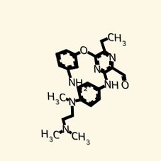 CCc1nc(C=O)c(Nc2ccc(N(C)CCN(C)C)cc2)nc1Oc1cccc(N)c1